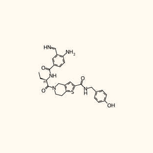 CC[C@@H](NC(=O)c1ccc(N)c(C=N)c1)C(=O)N1CCc2sc(C(=O)NCc3ccc(O)cc3)cc2C1